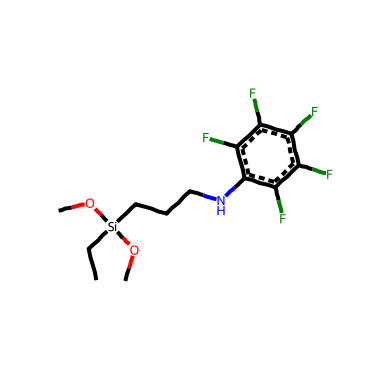 CC[Si](CCCNc1c(F)c(F)c(F)c(F)c1F)(OC)OC